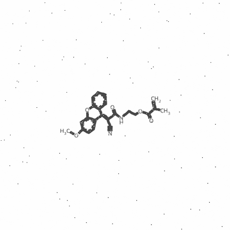 C=C(C)C(=O)OCCNC(=O)C(C#N)=C1c2ccccc2Oc2cc(OC)ccc21